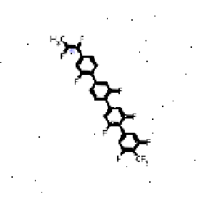 C/C(F)=C(\F)c1ccc(-c2ccc(-c3cc(F)c(-c4cc(F)c(C(F)(F)F)c(F)c4)c(F)c3)c(F)c2)c(F)c1